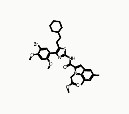 COC(=O)Cn1c(C(=O)Nc2nc(-c3cc(Br)c(OC)cc3OC)c(CCC3CCCCC3)s2)cc2cc(C)cc(C)c21